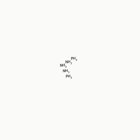 N.N.N.P.P